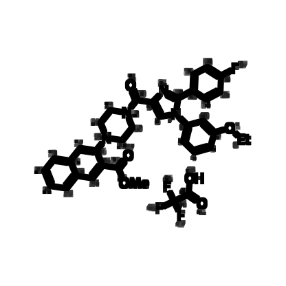 CCOc1cccc(-n2cc(C(=O)N3CCN(c4cc5ccccc5cc4C(=O)OC)CC3)nc2-c2ccc(F)cc2)c1.O=C(O)C(F)(F)F